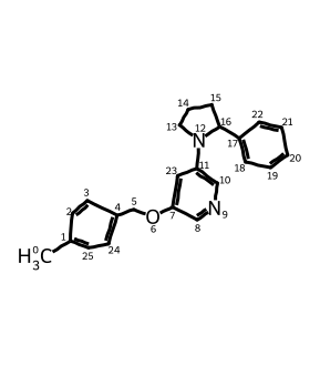 Cc1ccc(COc2cncc(N3CCCC3c3ccccc3)c2)cc1